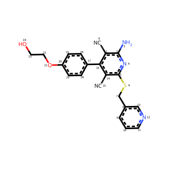 N#Cc1c(N)nc(SCc2cccnc2)c(C#N)c1-c1ccc(OCCO)cc1